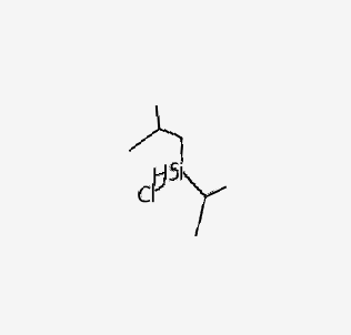 CC(C)C[SiH](Cl)C(C)C